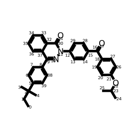 CCC(C)(C)c1ccc(-c2nn(-c3ccc(C(=O)c4ccc(OC(C)C)cc4)cc3)c(=O)c3ccccc23)cc1